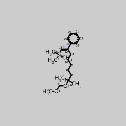 COCOC(C)(C)CCCCC/C(=C\[Si](C)(C)C)c1ccccc1